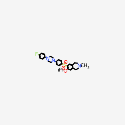 CC(C)Oc1cc2c(cc1S(=O)(=O)c1ccc(N3CCN(c4ccc(F)cc4)CC3)cc1)CCN(C)CC2